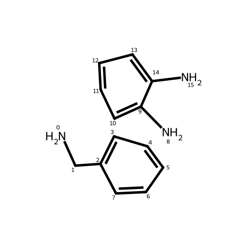 NCc1ccccc1.Nc1ccccc1N